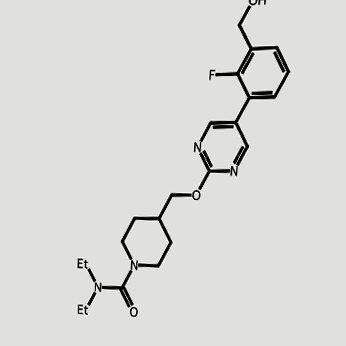 CCN(CC)C(=O)N1CCC(COc2ncc(-c3cccc(CO)c3F)cn2)CC1